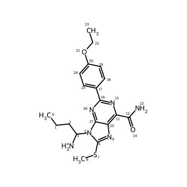 CCCC(N)n1c(SC)nc2c(C(N)=O)nc(-c3ccc(OCC)cc3)nc21